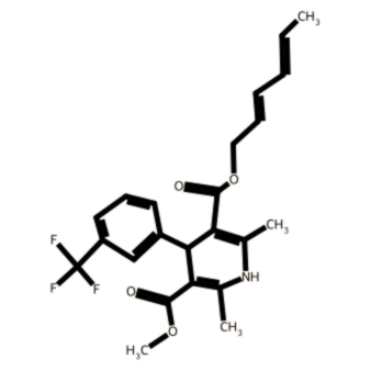 C/C=C/C=C/COC(=O)C1=C(C)NC(C)=C(C(=O)OC)C1c1cccc(C(F)(F)F)c1